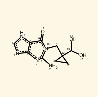 Nc1nc2nc[nH]c2c(=O)n1CC1(C(O)O)CC1